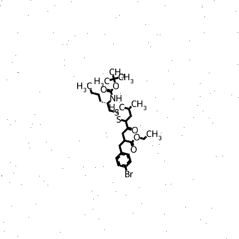 CCCC[C@@H](CSSC(CC(C)C)C(=O)CC(Cc1ccc(Br)cc1)C(=O)OCC)NC(=O)OC(C)(C)C